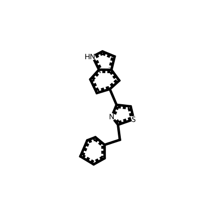 c1ccc(Cc2nc(-c3ccc4[nH]ccc4c3)cs2)cc1